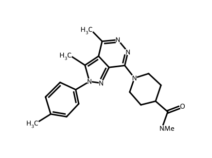 CNC(=O)C1CCN(c2nnc(C)c3c(C)n(-c4ccc(C)cc4)nc23)CC1